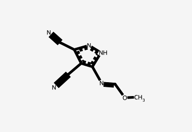 COC=Nc1[nH]nc(C#N)c1C#N